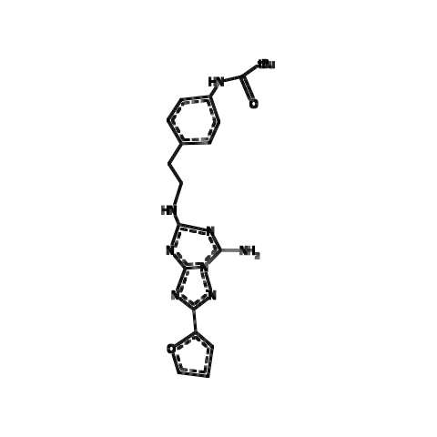 CC(C)(C)C(=O)Nc1ccc(CCNc2nc(N)n3nc(-c4ccco4)nc3n2)cc1